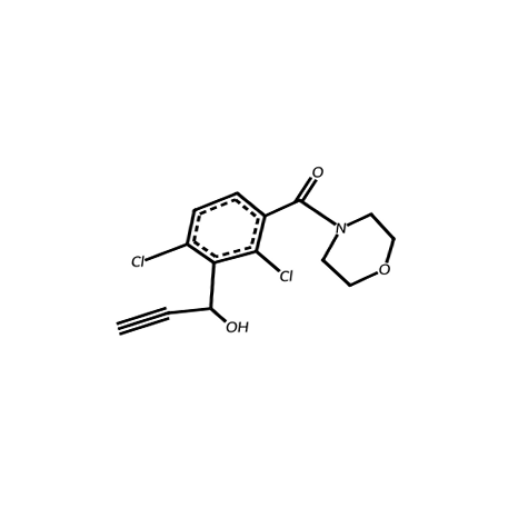 C#CC(O)c1c(Cl)ccc(C(=O)N2CCOCC2)c1Cl